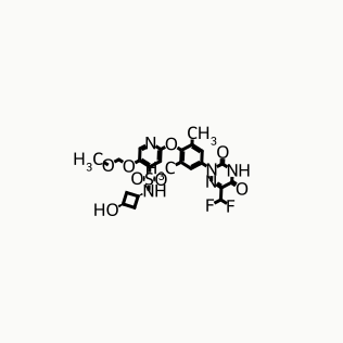 COCOc1cnc(Oc2c(C)cc(-n3nc(C(F)F)c(=O)[nH]c3=O)cc2C)cc1S(=O)(=O)N[C@H]1C[C@H](O)C1